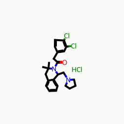 CC1(C)Cc2ccccc2C(CN2CCCC2)N1C(=O)Cc1ccc(Cl)c(Cl)c1.Cl